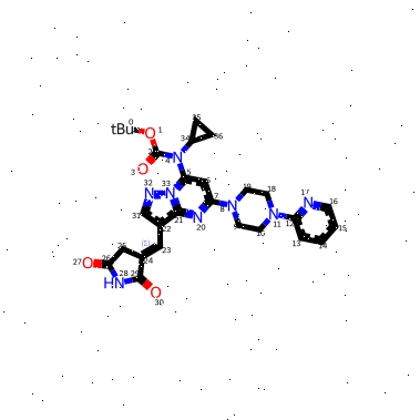 CC(C)(C)OC(=O)N(c1cc(N2CCN(c3ccccn3)CC2)nc2c(/C=C3\CC(=O)NC3=O)cnn12)C1CC1